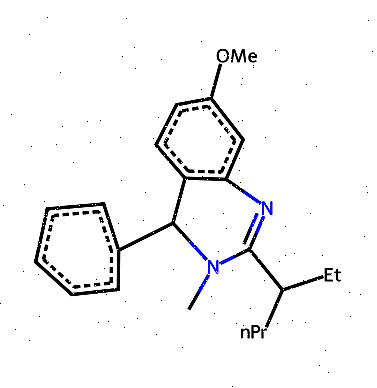 CCCC(CC)C1=Nc2cc(OC)ccc2C(c2ccccc2)N1C